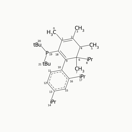 CC1=C(C)C(C)C(C)(C(C)C)C(c2ccc(C(C)C)cc2C(C)C)=C1P(C(C)(C)C)C(C)(C)C